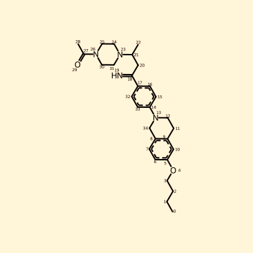 CCCCOc1ccc2c(c1)CCN(c1ccc(C(=N)CC(C)N3CCN(C(C)=O)CC3)cc1)C2